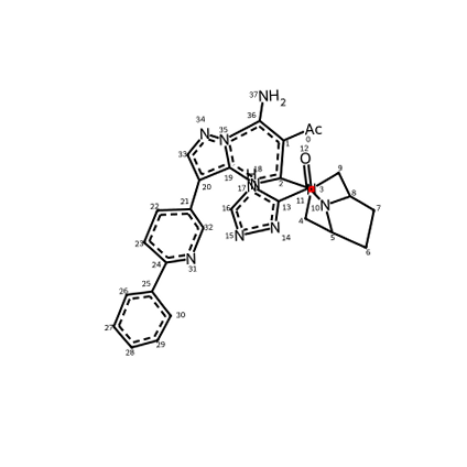 CC(=O)c1c(N2CC3CCC(C2)N3C(=O)c2nnc[nH]2)nc2c(-c3ccc(-c4ccccc4)nc3)cnn2c1N